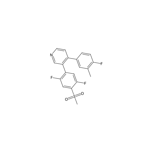 Cc1cc(-c2ccncc2-c2cc(F)c(S(C)(=O)=O)cc2F)ccc1F